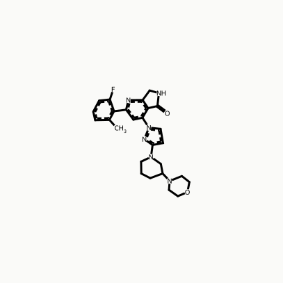 Cc1cccc(F)c1-c1cc(-n2ccc(N3CCCC(N4CCOCC4)C3)n2)c2c(n1)CNC2=O